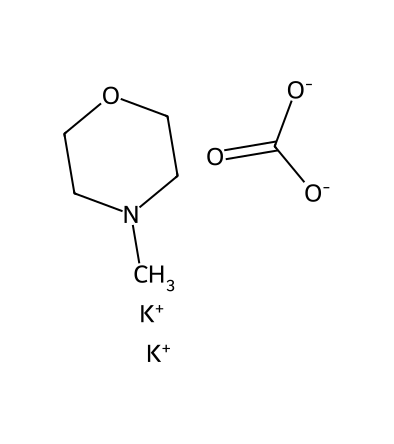 CN1CCOCC1.O=C([O-])[O-].[K+].[K+]